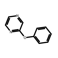 [c]1ccc(Oc2cnccn2)cc1